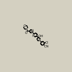 N#Cc1ccc(N2CC[C@@](O)(c3ccc(-n4cc(C(=O)N5CCOCC5)cn4)nc3)C2)cc1Cl